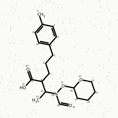 Cc1ccc(CCCC(C(=O)O)C(C)N(C=O)OC2CCCCO2)cc1